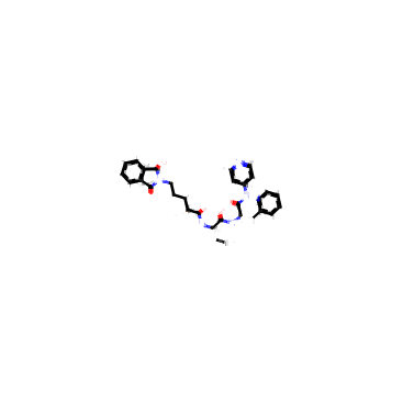 CC(C)C[C@H](NC(=O)[C@@H](S)CCCN1C(=O)c2ccccc2C1=O)C(=O)N[C@@H](Cc1ccccc1)C(=O)Nc1ccncc1